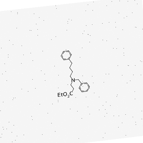 CCOC(=O)CCN(CCCCc1ccccc1)Cc1ccccc1